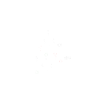 Cc1cc(C(F)(F)F)cc(OC/C=C\c2c(Cl)ccc(C(=O)OC(C)(C)C)c2Cl)c1C